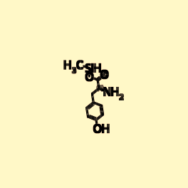 C[SiH2]OC(=O)[C@@H](N)Cc1ccc(O)cc1